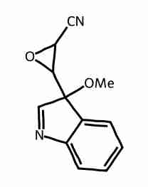 COC1(C2OC2C#N)C=Nc2ccccc21